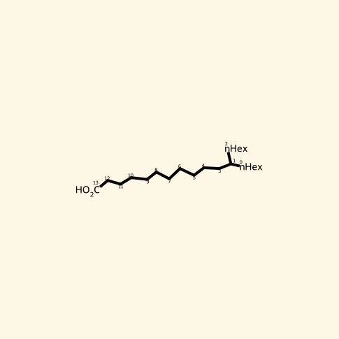 CCCCCCC(CCCCCC)CCCCCCCCCCC(=O)O